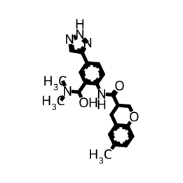 Cc1ccc2c(c1)CC(C(=O)Nc1ccc(-c3cn[nH]n3)cc1C(O)N(C)C)CO2